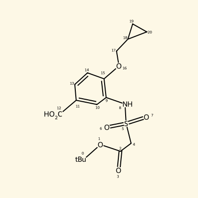 CC(C)(C)OC(=O)CS(=O)(=O)Nc1cc(C(=O)O)ccc1OCC1CC1